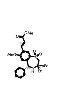 CCC[C@]1(CC)CS(=O)(=O)c2cc(/C=C/C(=O)OC)c(OC)cc2[C@@H](c2ccccc2)N1